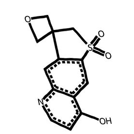 O=S1(=O)CC2(COC2)c2cc3nccc(O)c3cc21